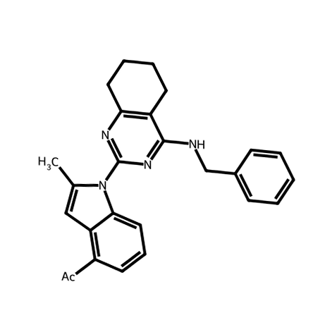 CC(=O)c1cccc2c1cc(C)n2-c1nc2c(c(NCc3ccccc3)n1)CCCC2